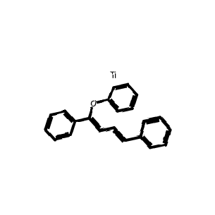 C(=Cc1ccccc1)C=C(Oc1ccccc1)c1ccccc1.[Ti]